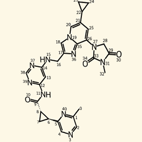 Cc1cncc([C@H]2C[C@@H]2C(=O)Nc2cc(NCc3cn4cc(C5CC5)cc(N5CC(=O)N(C)C5=O)c4n3)ncn2)n1